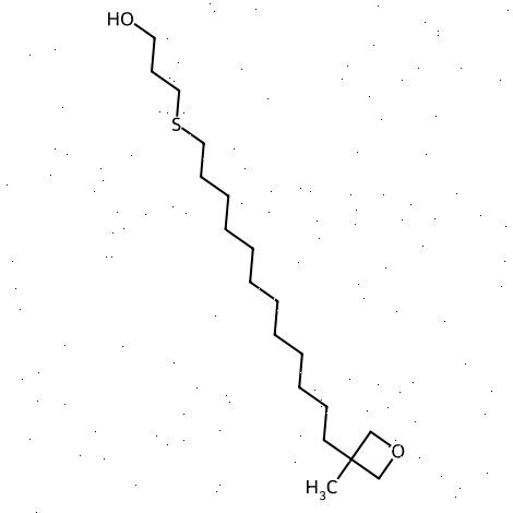 CC1(CCCCCCCCCCCCSCCCO)COC1